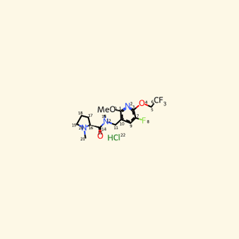 COc1nc(OCC(F)(F)F)c(F)cc1CN(C)C(=O)[C@@H]1CCCN1C.Cl